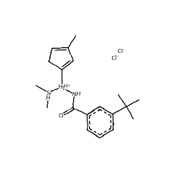 CC1=CC[C]([Hf+2]([NH]C(=O)c2cccc(C(C)(C)C)c2)[SiH](C)C)=C1.[Cl-].[Cl-]